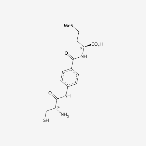 CSCC[C@H](NC(=O)c1ccc(NC(=O)[C@H](N)CS)cc1)C(=O)O